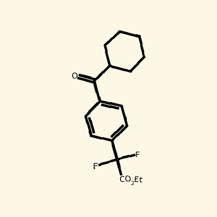 CCOC(=O)C(F)(F)c1ccc(C(=O)C2CCCCC2)cc1